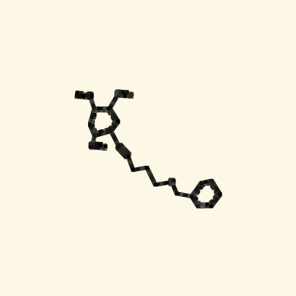 COc1cc(OC)c(OC)cc1C#CCCCOCc1ccccc1